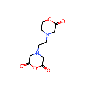 O=C1CN(CCN2CC(=O)OC(=O)C2)CCO1